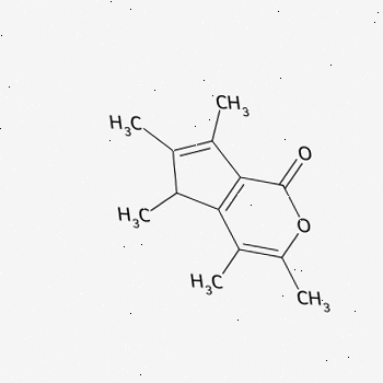 CC1=C(C)C(C)c2c(C)c(C)oc(=O)c21